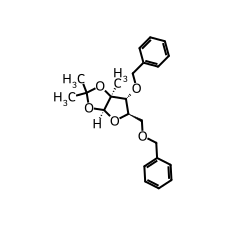 CC1(C)O[C@@H]2O[C@H](COCc3ccccc3)[C@@H](OCc3ccccc3)[C@]2(C)O1